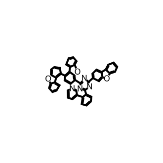 c1cncc(-c2ccccc2-c2nc(-c3ccc4c(c3)oc3ccccc34)nc(-c3ccc(-c4cccc5oc6ccccc6c45)c4c3oc3ccccc34)n2)c1